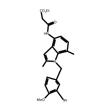 CCOC(=O)CC(=O)Nc1ccc(C)c2c1cc(C)n2Cc1ccc(OC)c(C(C)C)c1